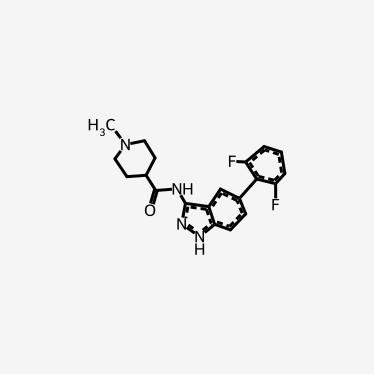 CN1CCC(C(=O)Nc2n[nH]c3ccc(-c4c(F)cccc4F)cc23)CC1